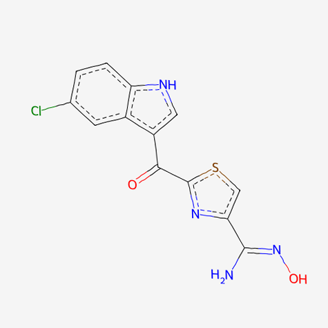 N/C(=N\O)c1csc(C(=O)c2c[nH]c3ccc(Cl)cc23)n1